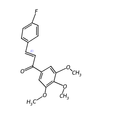 COc1cc(C(=O)/C=C/c2ccc(F)cc2)cc(OC)c1OC